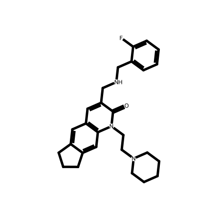 O=c1c(CNCc2ccccc2F)cc2cc3c(cc2n1CCN1CCCCC1)CCC3